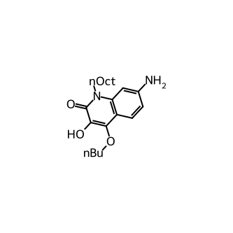 CCCCCCCCn1c(=O)c(O)c(OCCCC)c2ccc(N)cc21